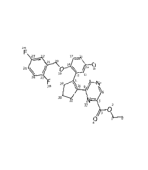 CCOC(=O)c1cncc(C2=C(c3cc(Cl)ccc3OCc3cc(F)ccc3F)CCC2)n1